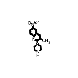 Cc1cc2cc([N+](=O)[O-])ccc2nc1N1CCNCC1